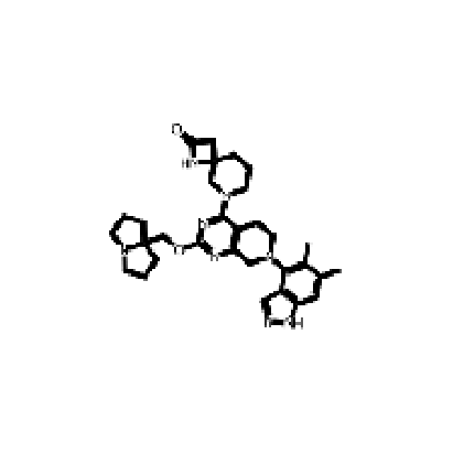 Cc1cc2[nH]ncc2c(N2CCc3c(nc(OCC45CCCN4CCC5)nc3N3CCCC4(CC(=O)N4)C3)C2)c1C